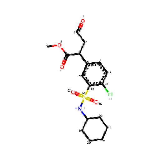 COC(=O)C(CC=O)c1ccc(Cl)c(S(=O)(=O)NC2CCCCC2)c1